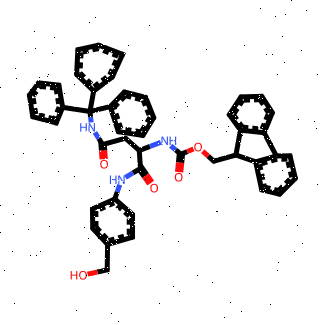 O=C(CC(NC(=O)OCC1c2ccccc2-c2ccccc21)C(=O)Nc1ccc(CO)cc1)NC(c1ccccc1)(c1ccccc1)c1ccccc1